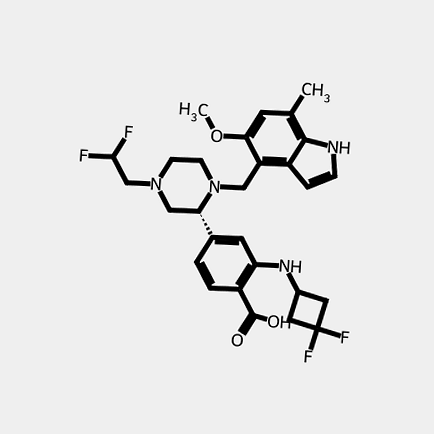 COc1cc(C)c2[nH]ccc2c1CN1CCN(CC(F)F)C[C@H]1c1ccc(C(=O)O)c(NC2CC(F)(F)C2)c1